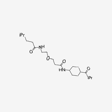 CC(C)CCC(=O)NCCOCCC(=O)NC1CCC(C(=O)C(C)C)CC1